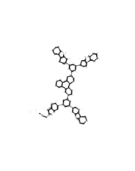 C=C/C=C\c1oc2cc(-c3cc(-c4ccc5c(c4)oc4ccccc45)cc(-c4ccc5c6ccc(-c7cc(-c8ccc9c(c8)oc8ccccc89)cc(-c8ccc9c(c8)oc8ccccc89)c7)cc6c6ccccc6c5c4)c3)ccc2c1C